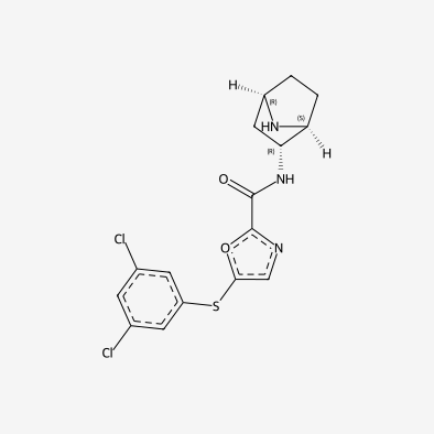 O=C(N[C@@H]1C[C@H]2CC[C@@H]1N2)c1ncc(Sc2cc(Cl)cc(Cl)c2)o1